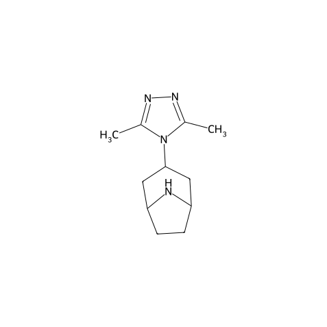 Cc1nnc(C)n1C1CC2CCC(C1)N2